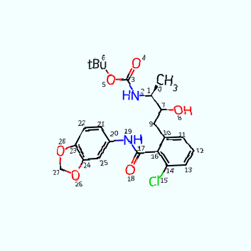 C[C@H](NC(=O)OC(C)(C)C)C(O)Cc1cccc(Cl)c1C(=O)Nc1ccc2c(c1)OCO2